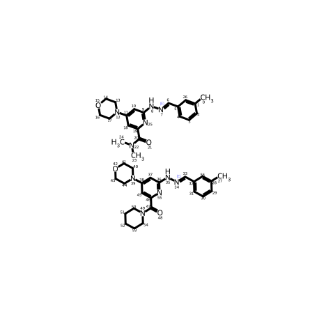 Cc1cccc(/C=N/Nc2cc(N3CCOCC3)cc(C(=O)N(C)C)n2)c1.Cc1cccc(/C=N/Nc2cc(N3CCOCC3)cc(C(=O)N3CCCCC3)n2)c1